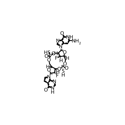 Nc1cc2c(ncn2[C@@H]2O[C@@H]3COP(=O)(S)O[C@H]4[C@H](F)[C@H](n5ccc6c(=O)[nH]cnc65)O[C@@H]4COP(=O)(S)O[C@@H]2[C@@H]3F)c(=O)[nH]1